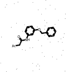 CC(=O)CC(=O)Nc1cccc(OCc2ccccc2)c1